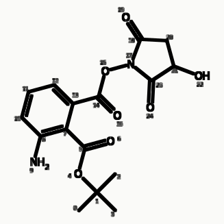 CC(C)(C)OC(=O)c1c(N)cccc1C(=O)ON1C(=O)CC(O)C1=O